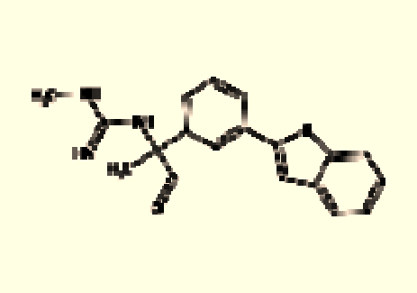 CNC(=N)NC(C)(C=O)c1cccc(-c2cc3ccccc3s2)c1